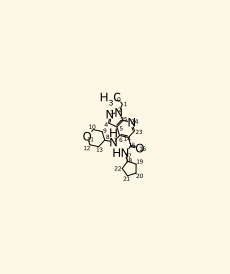 CCn1ncc2c(NC3CCOCC3)c(C(=O)NC3CCCC3)cnc21